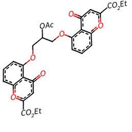 CCOC(=O)c1cc(=O)c2c(OCC(COc3cccc4oc(C(=O)OCC)cc(=O)c34)OC(C)=O)cccc2o1